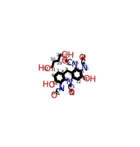 O=C=Nc1c(O)ccc(Cc2ccc(O)c(N=C=O)c2N=C=O)c1N=C=O.OCCCCO